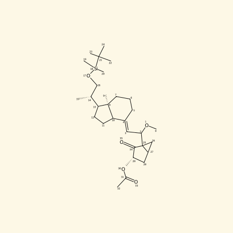 COC(/C=C1\CCC[C@@]2(C)C1CCC2[C@H](C)CO[Si](C)(C)C(C)(C)C)C12CC1C[C@H](OC(C)=O)C2=O